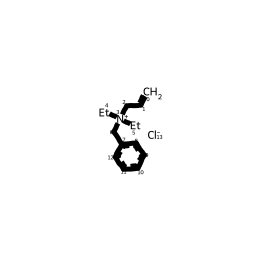 C=CC[N+](CC)(CC)Cc1ccccc1.[Cl-]